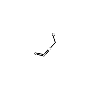 CCCB=S=O